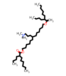 C=C(OCCCCCCC(CCCCCCOC(=O)C(CCCC)CCCCCC)CCCN(C)C)C(CCCC)CCCCCC